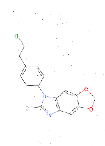 CCc1nc2cc3c(cc2n1-c1ccc(CCCl)cc1)OCO3